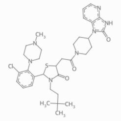 CN1CCN(c2c(Cl)cccc2C2SC(CC(=O)N3CCC(n4c(=O)[nH]c5ncccc54)CC3)C(=O)N2CCC(C)(C)C)CC1